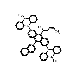 C/C=C\C=C(/C)c1c2cc(N3c4ccccc4N(C)c4ccccc43)ccc2c(-c2ccc3ccccc3c2)c2cc(N3c4ccccc4N(C)c4ccccc43)ccc12